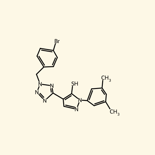 Cc1cc(C)cc(-n2ncc(-c3nnn(Cc4ccc(Br)cc4)n3)c2S)c1